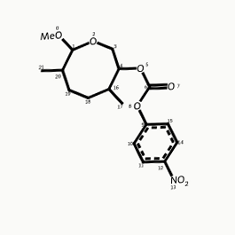 COC1OCC(OC(=O)Oc2ccc([N+](=O)[O-])cc2)C(C)CCC1C